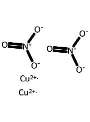 O=[N+]([O-])[O-].O=[N+]([O-])[O-].[Cu+2].[Cu+2]